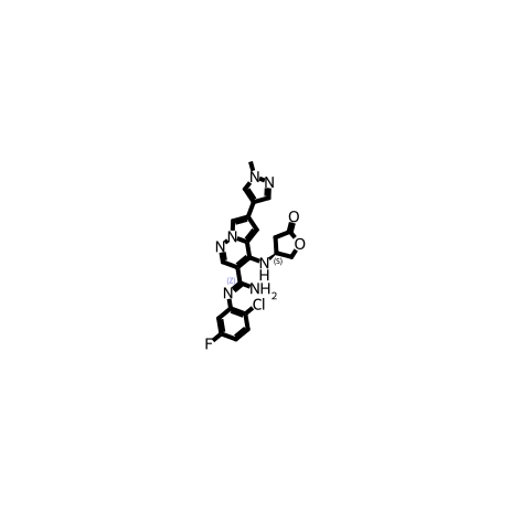 Cn1cc(-c2cc3c(N[C@@H]4COC(=O)C4)c(/C(N)=N/c4cc(F)ccc4Cl)cnn3c2)cn1